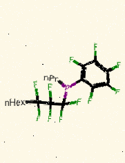 CCCCCCC(F)(F)C(F)(F)C(F)(F)P(CCC)c1c(F)c(F)c(F)c(F)c1F